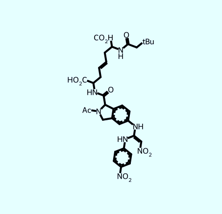 CC(=O)N1Cc2cc(NC(=C[N+](=O)[O-])Nc3ccc([N+](=O)[O-])cc3)ccc2C1C(=O)NC(CC=CCC(NC(=O)CC(C)(C)C)C(=O)O)C(=O)O